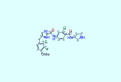 COc1ccc(Cc2cnc(C(=O)Nc3ccc(C(=O)NC4CCNC4)c(Cl)c3)[nH]2)c(F)c1F